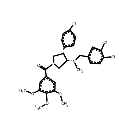 COc1cc(C(=O)N2C[C@H](c3ccc(Cl)cc3)[C@H](N(C)Cc3ccc(Cl)c(Cl)c3)C2)cc(OC)c1OC